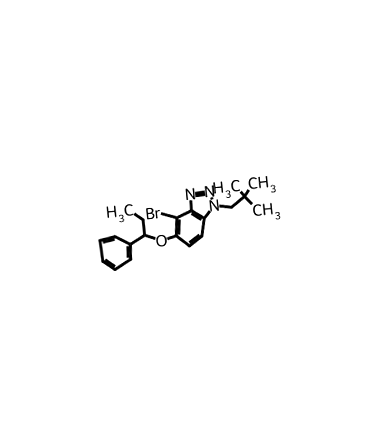 CCC(Oc1ccc2c(nnn2CC(C)(C)C)c1Br)c1ccccc1